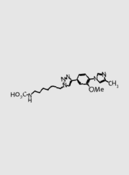 COc1cc(-c2cn(CCCCCCNC(=O)O)nn2)ccc1-n1cnc(C)c1